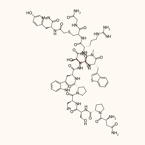 CCCC[C@@H](C(=O)N(C)[C@@H](C)C(=O)N[C@@H](CCCNC(=N)N)C(=O)NC(CSCC(=O)N[C@@H](Cc1ccc(O)cc1)C(=O)NC)C(=O)NCC(N)=O)N(C)C(=O)[C@H](Cc1csc2ccccc12)NC(=O)[C@H](CO)NC(=O)[C@H](Cc1c[nH]c2ccccc12)NC(=O)[C@@H]1CCCN1C(=O)[C@H](CC(C)C)NC(=O)[C@H](CO)NC(=O)[C@@H]1CCCN1C(=O)[C@@H](N)CC(N)=O